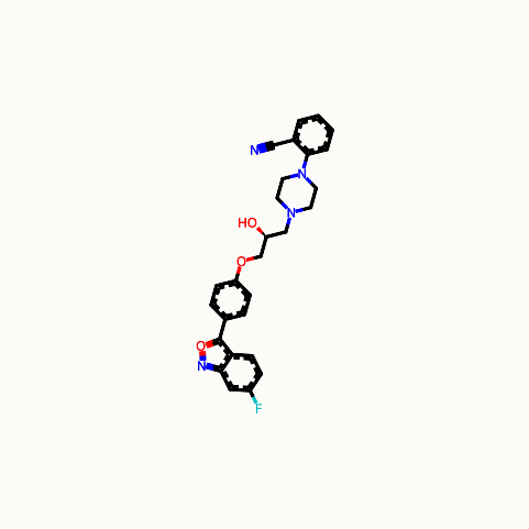 N#Cc1ccccc1N1CCN(C[C@H](O)COc2ccc(-c3onc4cc(F)ccc34)cc2)CC1